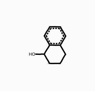 OC1[C]CCc2ccccc21